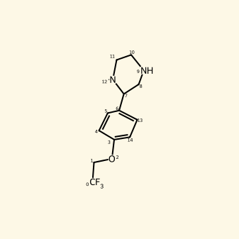 FC(F)(F)COc1ccc(C2CNCC[N]2)cc1